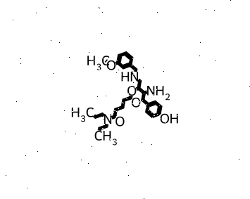 CCCN(CCC)C(=O)CCCC(=O)OC(CNCc1cccc(OC)c1)C(N)Cc1ccc(O)cc1